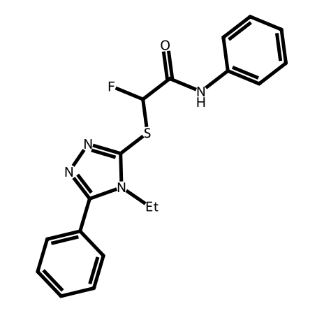 CCn1c(SC(F)C(=O)Nc2ccccc2)nnc1-c1ccccc1